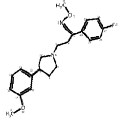 CON=C(CCN1CCC(c2cccc(OC)c2)C1)c1ccc(F)cc1